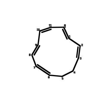 [C]1=C/C=C\CC/C=C\C=C\C=C/1